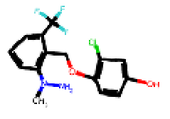 CN(N)c1cccc(C(F)(F)F)c1COc1ccc(O)cc1Cl